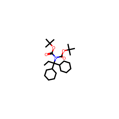 CCC(C1CCCCC1)(C1CCCCC1)N(C(=O)OC(C)(C)C)C(=O)OC(C)(C)C